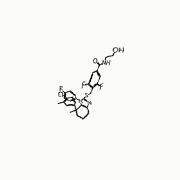 Cc1cc(C2(C)CCCc3nc(SCc4c(F)cc(C(=O)NCCO)cc4F)n(-c4ccc(F)cc4)c32)ccc1Cl